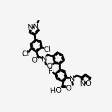 CN(Cc1ccon1)c1cc(-c2cccc3c2OCN(C(=O)c2c(Cl)cc(-c4cnn(C)c4)cc2Cl)C3)c(F)cc1C(=O)O